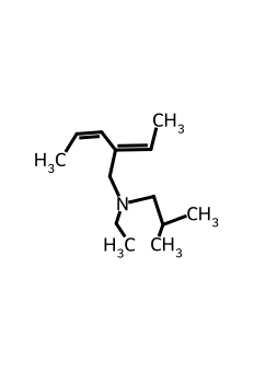 C/C=C\C(=C/C)CN(CC)CC(C)C